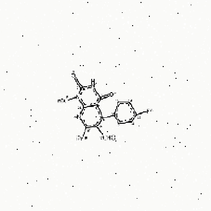 CCCCn1c(=O)[nH]c(=O)c2c(-c3ccc(F)cc3)c(C=O)c(C(C)C)nc21